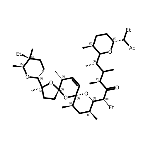 CCC(C(C)=O)[C@H]1CC[C@H](C)C([C@@H](C)C(C)[C@H](C)C(=O)[C@H](CC)[C@H]2O[C@]3(C=C[C@@H](C)[C@]4(CC[C@@](C)([C@H]5CC[C@](C)(CC)[C@H](C)O5)O4)O3)[C@H](C)C[C@@H]2C)O1